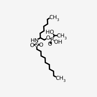 CCCCCCCCCCS(=O)(=O)NC(CCCCCC)COP(=O)(O)C(C)O